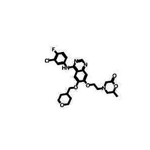 CC1CN(CCOc2cc3ncnc(Nc4ccc(F)c(Cl)c4)c3cc2OCC2CCOCC2)CC(=O)O1